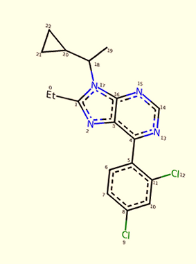 CCc1nc2c(-c3ccc(Cl)cc3Cl)ncnc2n1C(C)C1CC1